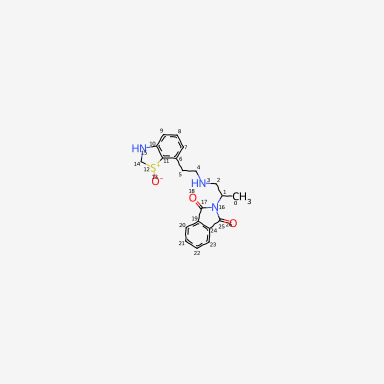 CC(CNCCc1cccc2c1[S+]([O-])CN2)N1C(=O)c2ccccc2C1=O